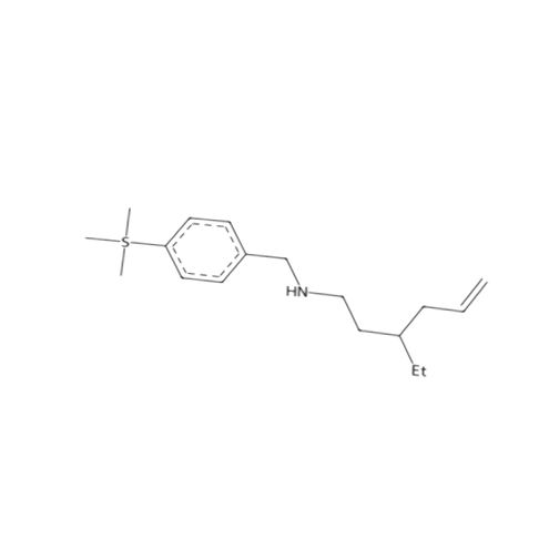 C=CCC(CC)CCNCc1ccc(S(C)(C)C)cc1